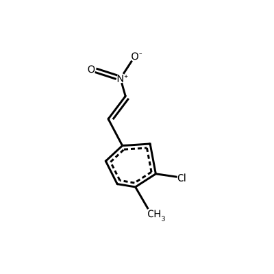 Cc1ccc(/C=C/[N+](=O)[O-])cc1Cl